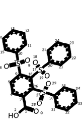 O=C(O)c1ccc(S(=O)(=O)c2ccccc2)c(S(=O)(=O)c2ccccc2)c1S(=O)(=O)c1ccccc1